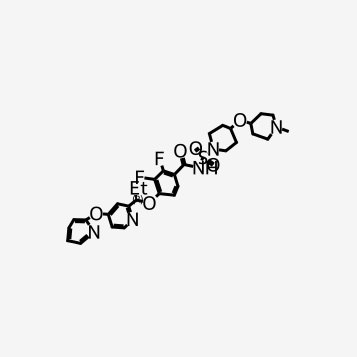 CC[C@@H](Oc1ccc(C(=O)NS(=O)(=O)N2CCC(OC3CCN(C)CC3)CC2)c(F)c1F)c1cc(Oc2ccccn2)ccn1